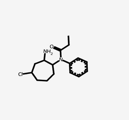 CCC(=O)N(c1ccccc1)C1CCCC(Cl)CC1N